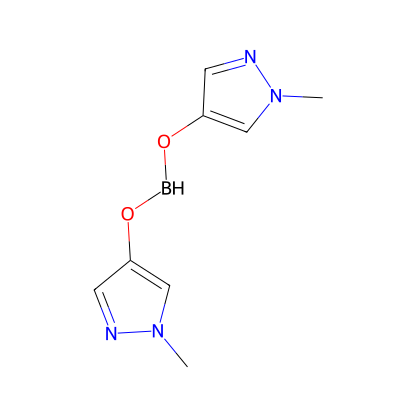 Cn1cc(OBOc2cnn(C)c2)cn1